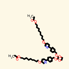 C=CC(=O)OCCCCCCCCCCOc1ccc(-c2ccc(COC3OCCOC3OCc3ccc(-c4ccc(OCCCCCCCCCCOC(=O)C=C)cn4)cc3)cc2)nc1